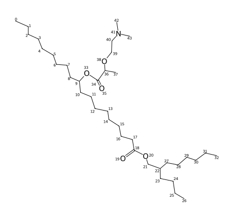 CCCCCCCCCC(CCCCCCCCC(=O)OCC(CCCC)CCCCCC)OC(=O)C(C)OCCN(C)C